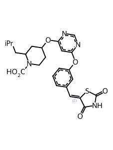 CC(C)CC1CC(Oc2cc(Oc3cccc(/C=C4\SC(=O)NC4=O)c3)ncn2)CCN1C(=O)O